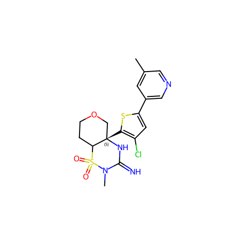 Cc1cncc(-c2cc(Cl)c([C@]34COCCC3S(=O)(=O)N(C)C(=N)N4)s2)c1